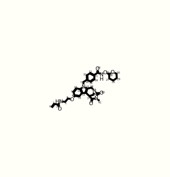 C=CC(=O)NCCOc1ccc2c(c1)c1c(n2Cc2ccc(C(=O)NOC3CCCCO3)cc2)CN2CC1C(=O)N(C)C2=O